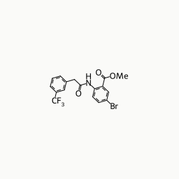 COC(=O)c1cc(Br)ccc1NC(=O)Cc1cccc(C(F)(F)F)c1